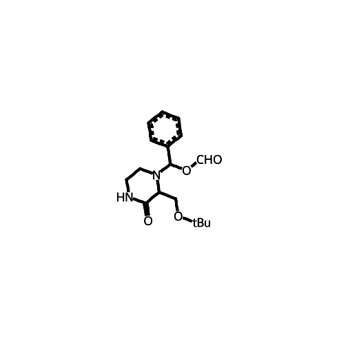 CC(C)(C)OCC1C(=O)NCCN1C(OC=O)c1ccccc1